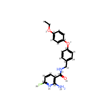 CCOc1ccc(Oc2ccc(CNC(=O)c3ccc(F)nc3N)cc2)cc1